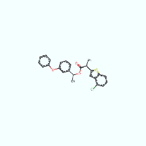 CC(C)C(C(=O)OC(C#N)c1cccc(Oc2ccccc2)c1)c1cc2c(Cl)cccc2s1